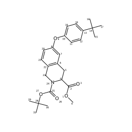 COC(=O)C1Cc2cc(Oc3ccc(C(C)(C)C)cc3)ccc2CN1C(=O)OC(C)(C)C